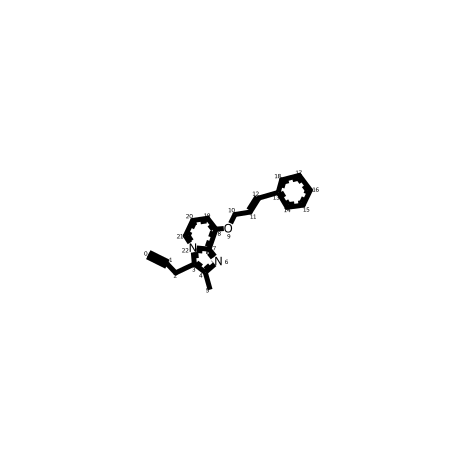 C#CCc1c(C)nc2c(OCC=Cc3ccccc3)cccn12